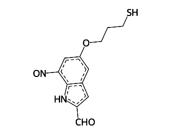 O=Cc1cc2cc(OCCCS)cc(N=O)c2[nH]1